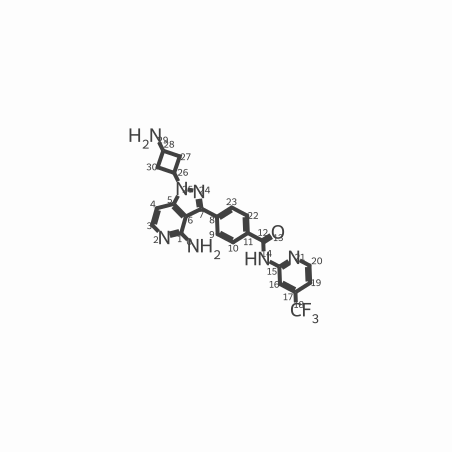 Nc1nccc2c1c(-c1ccc(C(=O)Nc3cc(C(F)(F)F)ccn3)cc1)nn2C1CC(N)C1